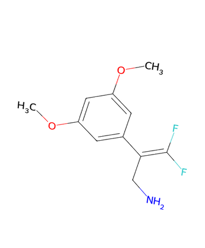 COc1cc(OC)cc(C(CN)=C(F)F)c1